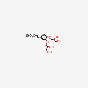 CCOC(=O)C=Cc1ccc(OCC(O)CO)c(OCC(O)CO)c1